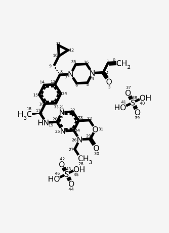 C=CC(=O)N1CCN([C@@H](CC2CC2)c2ccc([C@H](C)Nc3ncc4c(n3)N(CC)C(=O)OC4)cc2)CC1.O=S(=O)(O)O.O=S(=O)(O)O